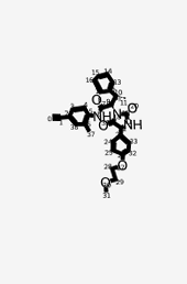 C#Cc1ccc(NC(=O)[C@H]([C@@H](C)c2ccccc2)N2C(=O)NC(c3ccc(OCCOC)cc3)C2=O)c(C)c1